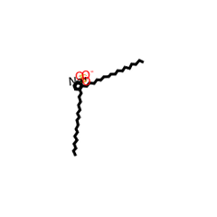 CCCCCCCCCCCCCCCCCc1cccc(S(=O)(=O)[O-])c1CCCCCCCCCCCCCCCCC.[Na+]